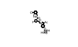 CC(=O)c1cn(CC(=O)C2C[C@H](F)C[C@H]2C(=O)NCc2cccc(Cl)c2F)c2ccc(OCP(=O)(O)O)cc12